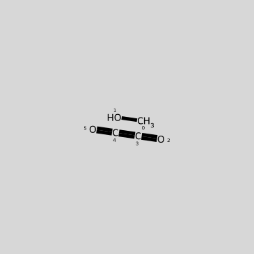 CO.O=C=C=O